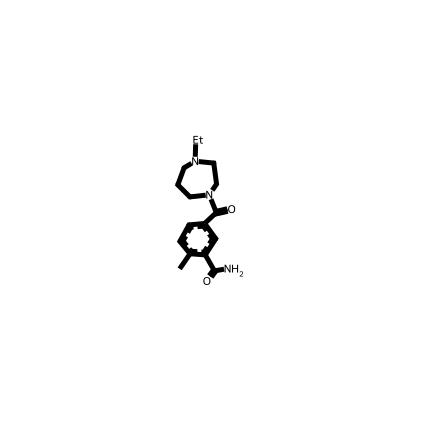 CCN1CCCN(C(=O)c2ccc(C)c(C(N)=O)c2)CC1